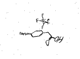 F[B-](F)(F)F.[N-]=[N+]=C1C=CC(CC(=O)O)=CC1